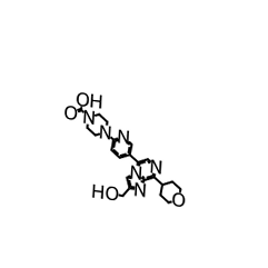 O=C(O)N1CCN(c2ccc(-c3cnc(C4CCOCC4)c4nc(CO)cn34)cn2)CC1